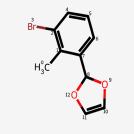 Cc1c(Br)cccc1C1OC=CO1